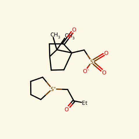 CC1(C)C2CCC1(CS(=O)(=O)[O-])C(=O)C2.CCC(=O)C[S+]1CCCC1